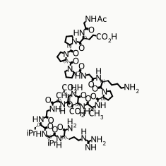 CC(=O)NCC(=O)N[C@@H](CCC(=O)O)C(=O)N1CCC[C@H]1C(=O)N1CCC[C@H]1C(=O)N1CCC[C@H]1C(=O)NCC(=O)N[C@@H](CCCCN)C(=O)N1CCC[C@H]1C(=O)N[C@@H](C)C(=O)N[C@@H](CC(=O)O)C(=O)N[C@@H](CC(=O)O)C(=O)N[C@@H](C)C(=O)NCC(=O)N[C@@H](CC(C)C)C(=O)N[C@H](C(=O)N[C@@H](CCCNC(=N)N)C(N)=O)C(C)C